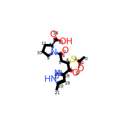 CC(=O)SC(CC(=O)N1CCC[C@H]1C(=O)O)C(=O)c1cc(C)[nH]n1